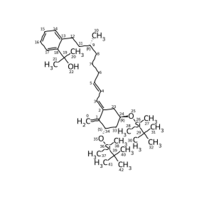 C=C1C(=CC=CCCC[C@@H](C)CCc2ccccc2C(C)(C)O)C[C@@H](O[Si](C)(C)C(C)(C)C)C[C@@H]1O[Si](C)(C)C(C)(C)C